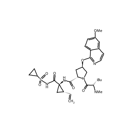 C=C[C@@H]1C[C@]1(NC(=O)[C@@H]1C[C@@H](Oc2nccc3cc(OC)ccc23)CN1C(=O)C(NC)[C@@H](C)CC)C(=O)NS(=O)(=O)C1CC1